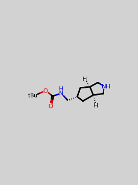 CC(C)(C)OC(=O)NC[C@@H]1C[C@H]2CNC[C@H]2C1